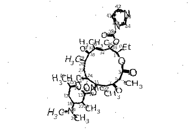 CC[C@H]1OC(=O)[C@H](C)C(=O)[C@H](C)[C@@H](OC2OC(C)CC(N(C)C)C2C)[C@](C)(OC)C[C@@H](C)C(=O)/C(C)=C/[C@]1(C)OC(=O)n1ccnc1